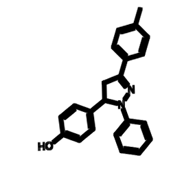 Cc1ccc(C2=NN(c3ccccc3)C(c3ccc(O)cc3)C2)cc1